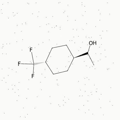 CC(O)[C@H]1CC[C@H](C(F)(F)F)CC1